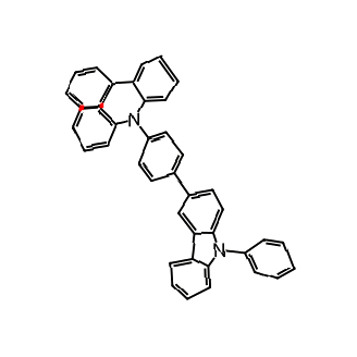 c1ccc(-c2ccccc2N(c2ccccc2)c2ccc(-c3ccc4c(c3)c3ccccc3n4-c3ccccc3)cc2)cc1